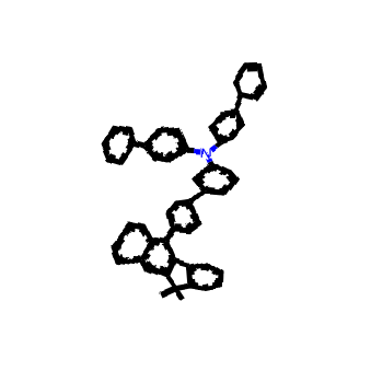 CC1(C)c2ccccc2-c2c1cc1ccccc1c2-c1ccc(-c2cccc(N(c3ccc(-c4ccccc4)cc3)c3ccc(C4C=CC=CC4)cc3)c2)cc1